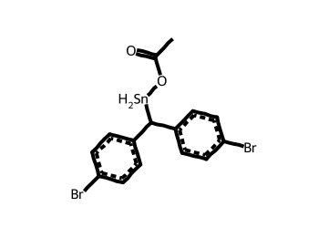 CC(=O)[O][SnH2][CH](c1ccc(Br)cc1)c1ccc(Br)cc1